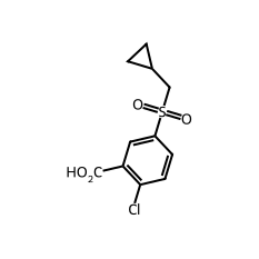 O=C(O)c1cc(S(=O)(=O)CC2CC2)ccc1Cl